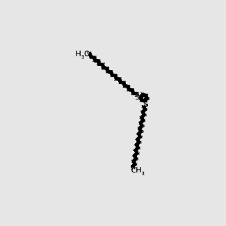 CCCCCCCCCCCCCCCCCCCCCCCCSc1c[c]cc(SCCCCCCCCCCCCCCCCCCCCCCCC)c1